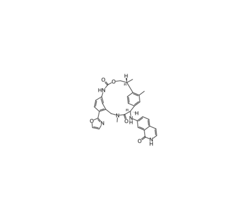 Cc1cc2ccc1[C@@H](C)COC(=O)Nc1ccc(-c3ncco3)c(c1)CN(C)C(=O)[C@@H]2Nc1ccc2cc[nH]c(=O)c2c1